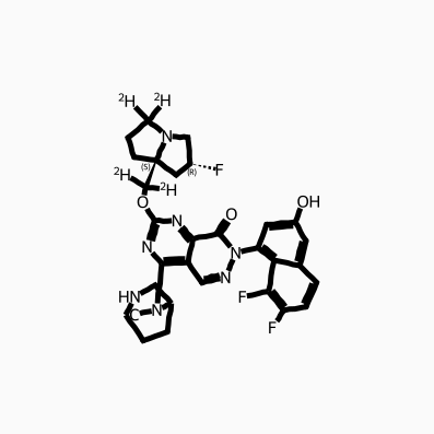 [2H]C1([2H])CC[C@@]2(C([2H])([2H])Oc3nc(N4CC5CCC4CN5)c4cnn(-c5cc(O)cc6ccc(F)c(F)c56)c(=O)c4n3)C[C@@H](F)CN12